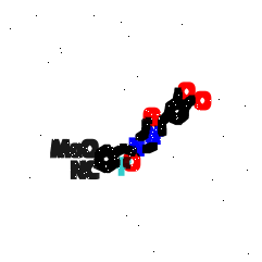 COc1cc(CC(=O)N2CCN3CC(c4ccc5c(c4)COC5=O)OCC3C2)c(F)cc1C#N